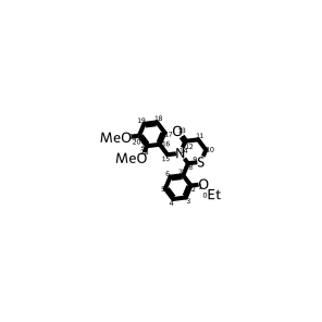 CCOc1ccccc1C1SCCC(=O)N1Cc1cccc(OC)c1OC